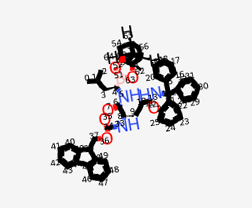 CC(C)C[C@H](NC(=O)[C@H](CCC(=O)NC(c1ccccc1)(c1ccccc1)c1ccccc1)NC(=O)OCC1c2ccccc2-c2ccccc21)B1O[C@@H]2C[C@@H]3C[C@@H](C3(C)C)[C@]2(C)O1